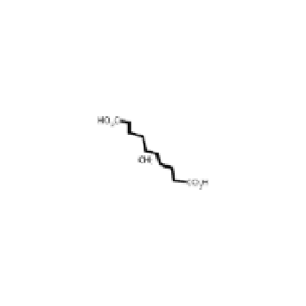 O=C(O)CCCCCCCCC(=O)O.[CH]